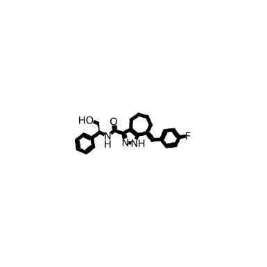 O=C(N[C@H](CO)c1ccccc1)c1n[nH]c2c1CCCC/C2=C\c1ccc(F)cc1